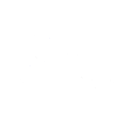 C=C/C=C(\C=C/C)N1/C(C)=C/C(C)/C(=C/Cc2c(C)/c(=C/C)c(=C)n2C)C(=C)C(C)C/C=C/c2ccccc21